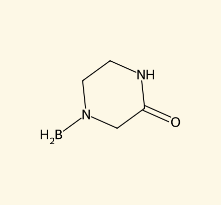 BN1CCNC(=O)C1